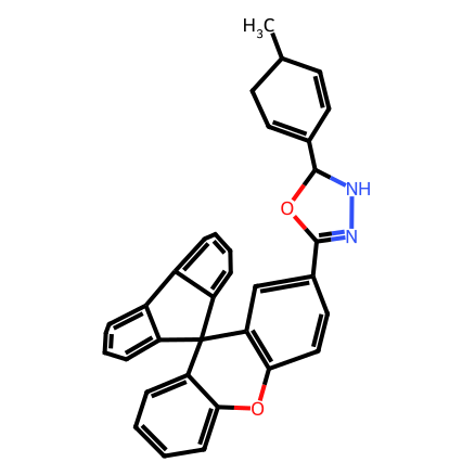 CC1C=CC(C2NN=C(c3ccc4c(c3)C3(c5ccccc5O4)c4ccccc4-c4ccccc43)O2)=CC1